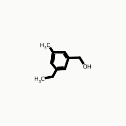 CCc1cc(C)cc(CO)c1